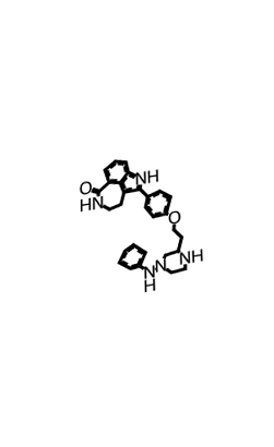 O=C1NCCc2c(-c3ccc(OCCC4CN(Nc5ccccc5)CCN4)cc3)[nH]c3cccc1c23